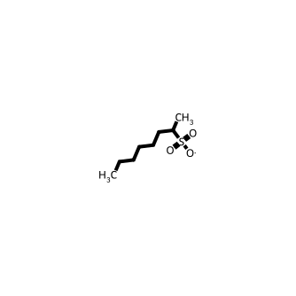 CCCCCCC(C)S([O])(=O)=O